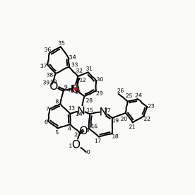 COC(=O)c1cccc(C(=O)OC)c1N(c1cccc(-c2ccccc2C)n1)c1cccc(-c2ccccc2C)n1